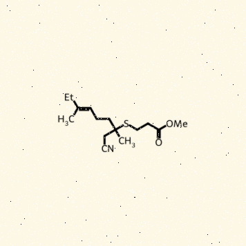 CCC(C)=CCCC(C)(CC#N)SCCC(=O)OC